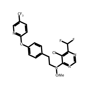 CON(CCc1ccc(Oc2ccc(C(F)(F)F)cn2)cc1)c1ncnc(C(F)F)c1Cl